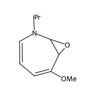 COC1=CC=CN(C(C)C)C2OC12